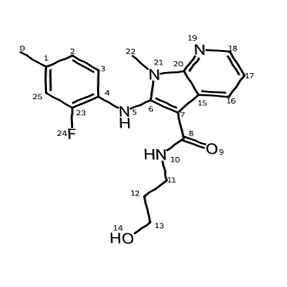 Cc1ccc(Nc2c(C(=O)NCCCO)c3cccnc3n2C)c(F)c1